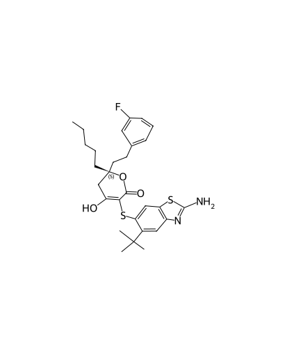 CCCCC[C@]1(CCc2cccc(F)c2)CC(O)=C(Sc2cc3sc(N)nc3cc2C(C)(C)C)C(=O)O1